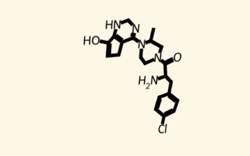 CC1CN(C(=O)C(N)Cc2ccc(Cl)cc2)CCN1C1=NCNC2=C1CC=C2O